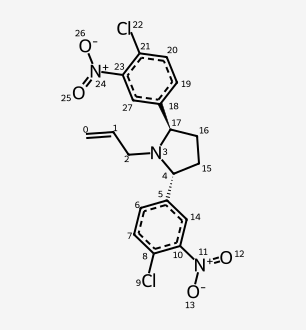 C=CCN1[C@@H](c2ccc(Cl)c([N+](=O)[O-])c2)CC[C@@H]1c1ccc(Cl)c([N+](=O)[O-])c1